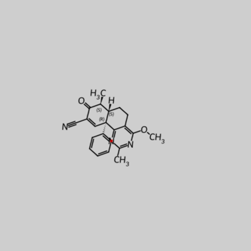 COc1nc(C)nc2c1CC[C@H]1[C@H](C)C(=O)C(C#N)=C[C@]21c1ccccc1